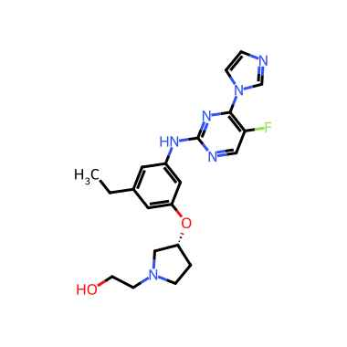 CCc1cc(Nc2ncc(F)c(-n3ccnc3)n2)cc(O[C@@H]2CCN(CCO)C2)c1